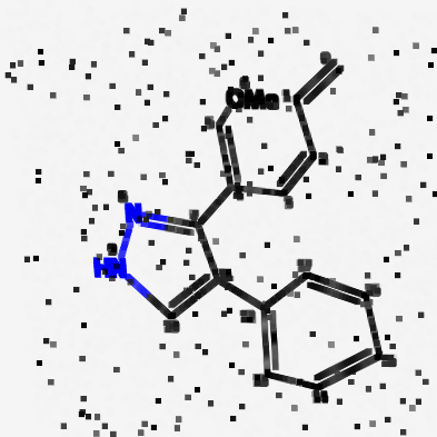 C=C/C=C\C(=C/OC)c1n[nH]cc1-c1ccccc1